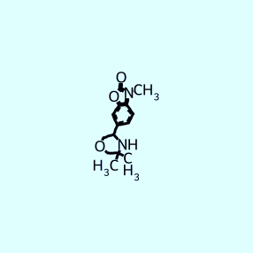 Cn1c(=O)oc2cc(C3COCC(C)(C)N3)ccc21